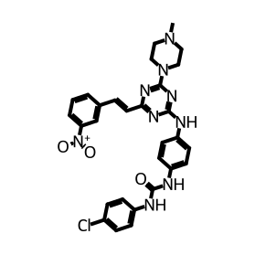 CN1CCN(c2nc(C=Cc3cccc([N+](=O)[O-])c3)nc(Nc3ccc(NC(=O)Nc4ccc(Cl)cc4)cc3)n2)CC1